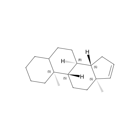 C[C@@]12C=CC[C@H]1[C@@H]1CCC3CCCC[C@]3(C)[C@H]1CC2